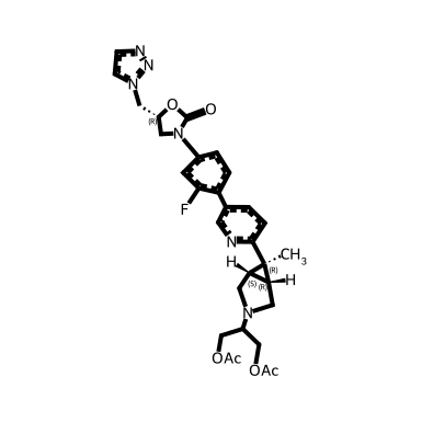 CC(=O)OCC(COC(C)=O)N1C[C@@H]2[C@H](C1)[C@@]2(C)c1ccc(-c2ccc(N3C[C@H](Cn4ccnn4)OC3=O)cc2F)cn1